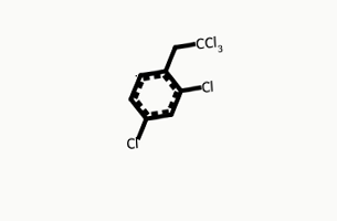 Clc1c[c]c(CC(Cl)(Cl)Cl)c(Cl)c1